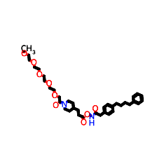 COCCOCCOCCOCCOCC(=O)N1CCC(CCC(=O)ONC(=O)Cc2ccc(CCCCc3ccccc3)cc2)CC1